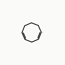 [C]1=CCC=CCCC1